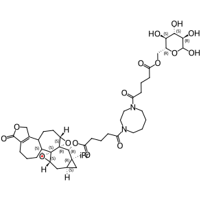 CC(C)[C@]12C[C@H]1C[C@@H]1O[C@]13[C@]1(O[C@H]1CCC1C4=C(CCC[C@@]13C)C(=O)OC4)[C@@H]2OC(=O)CCCC(=O)N1CCCCN(C(=O)CCCC(=O)OC[C@H]2OC(O)[C@H](O)[C@@H](O)[C@@H]2O)CC1